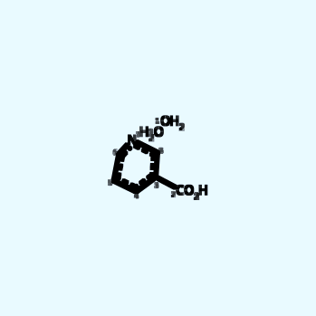 O.O.O=C(O)c1cccnc1